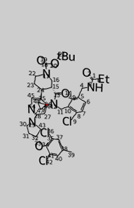 CCC(=O)NCc1ccc(Cl)c(CN(C(=O)[C@H]2CN(C(=O)OC(C)(C)C)CC[C@@H]2c2ccc(N3CC[C@@H](Oc4c(Cl)cc(C)cc4Cl)C3)nc2)C2CC2)c1